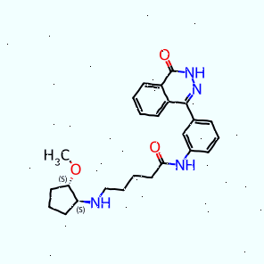 CO[C@H]1CCC[C@@H]1NCCCCC(=O)Nc1cccc(-c2n[nH]c(=O)c3ccccc23)c1